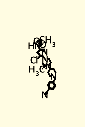 C[C@H]1CN(c2ncc(NS(C)(=O)=O)cc2Cl)CCN1C1CCN(Cc2ccc(C#N)cc2)CC1